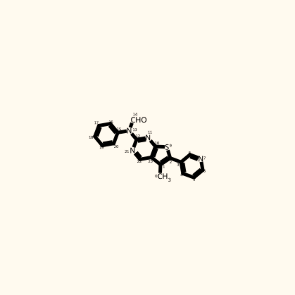 Cc1c(-c2cccnc2)sc2nc(N(C=O)c3ccccc3)ncc12